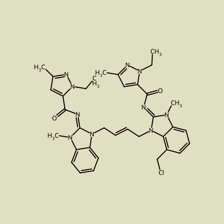 CCn1nc(C)cc1C(=O)/N=c1\n(C)c2ccccc2n1C/C=C/Cn1/c(=N/C(=O)c2cc(C)nn2CC)n(C)c2cccc(CCl)c21